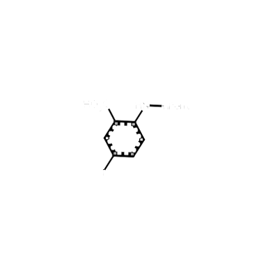 CCCCCNc1ccc(I)cc1C(=O)O